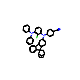 N#Cc1ccc(N(c2ccc3c(c2)-c2ccccc2C32CC3CCC2C3)c2cccc(N(c3ccccc3)c3ccccc3)c2Cl)cc1